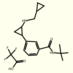 CC(C)(C)NC(=O)c1cccc(C2CC2NCC2CC2)c1.O=C(O)C(F)(F)F